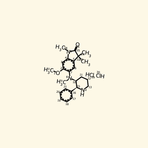 COc1cc2c(cc1N(C)[C@H]1CCCN[C@H]1c1ccccc1)C(C)(C)C(=O)N2C.Cl.Cl